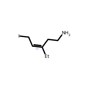 CC/C(=C/CI)CCN